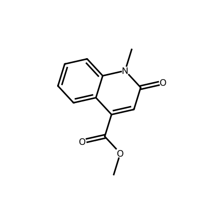 COC(=O)c1cc(=O)n(C)c2ccccc12